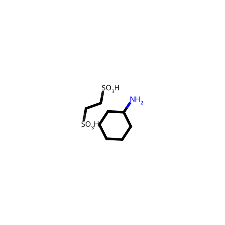 NC1CCCCC1.O=S(=O)(O)CCS(=O)(=O)O